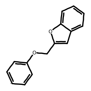 [c]1ccc(OCc2cc3ccccc3o2)cc1